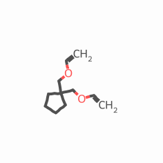 C=COCC1(COC=C)CCCC1